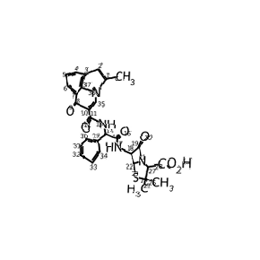 CC1Cc2cccc3c(=O)c(C(=O)NC(C(=O)NC4C(=O)N5C4SC(C)(C)C5C(=O)O)c4ccccc4)cn1c23